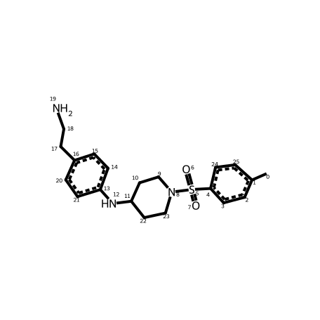 Cc1ccc(S(=O)(=O)N2CCC(Nc3ccc(CCN)cc3)CC2)cc1